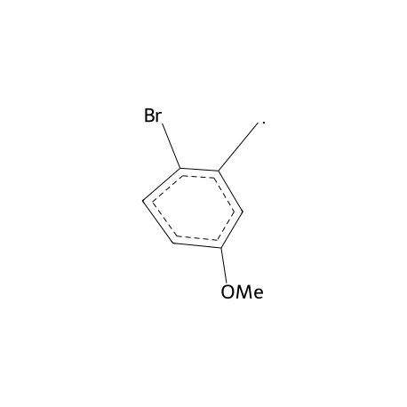 [CH2]c1cc(OC)ccc1Br